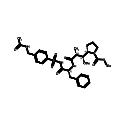 CO[C@H]([C@@H](C)C(=O)N[C@@H](Cc1ccccc1)C(=O)NS(=O)(=O)c1ccc(CNC(=O)C(F)(F)F)cc1)[C@@H]1CCCN1C(=O)OC(C)(C)C